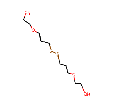 OCCOCCCSSCCCOCCO